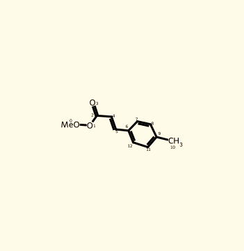 COOC(=O)C=Cc1ccc(C)cc1